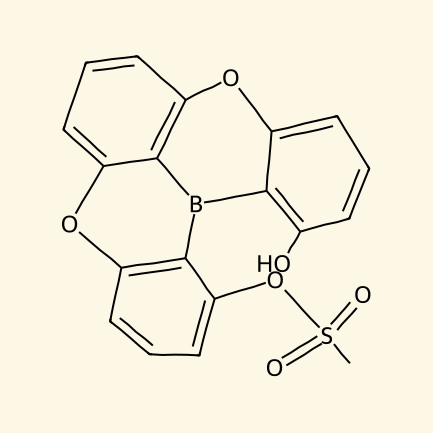 CS(=O)(=O)Oc1cccc2c1B1c3c(O)cccc3Oc3cccc(c31)O2